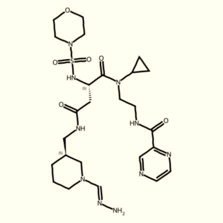 NN=CN1CCC[C@@H](CNC(=O)C[C@H](NS(=O)(=O)N2CCOCC2)C(=O)N(CCNC(=O)c2cnccn2)C2CC2)C1